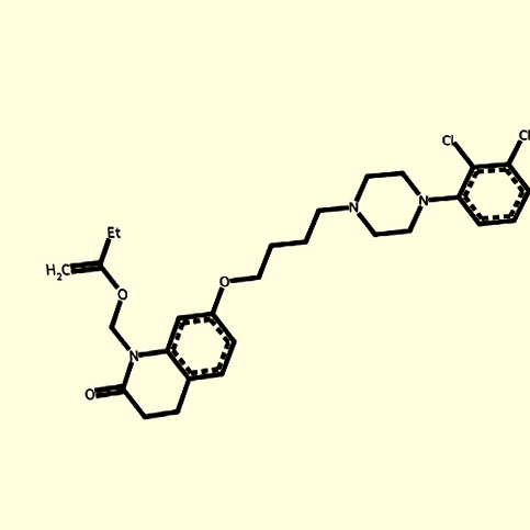 C=C(CC)OCN1C(=O)CCc2ccc(OCCCCN3CCN(c4cccc(Cl)c4Cl)CC3)cc21